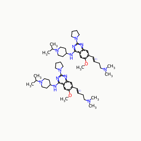 COc1cc2c(NC3CCN(C(C)C)CC3)nc(N3CCCC3)nc2cc1/C=C/CCN(C)C.COc1cc2c(NC3CCN(C(C)C)CC3)nc(N3CCCC3)nc2cc1/C=C/CCN(C)C